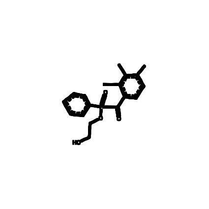 Cc1ccc(C(=O)P(=O)(OCCO)c2ccccc2)c(C)c1C